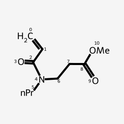 C=CC(=O)N(CCC)CCC(=O)OC